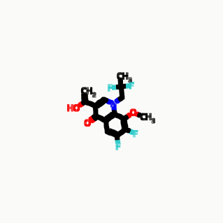 C=C(O)c1cn(CC(C)(F)F)c2c(OC)c(F)c(F)cc2c1=O